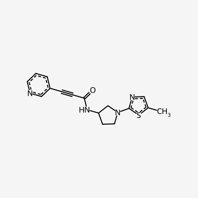 Cc1cnc(N2CCC(NC(=O)C#Cc3cccnc3)C2)s1